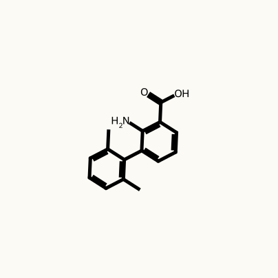 Cc1cccc(C)c1-c1cccc(C(=O)O)c1N